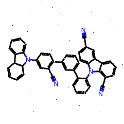 N#Cc1ccc2c(c1)c1cccc(C#N)c1n2-c1ccccc1-c1cccc(-c2ccc(N3c4ccccc4C4C=CC=CC43)cc2C#N)c1